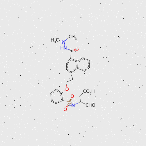 CN(C)NC(=O)c1ccc(CCOc2ccccc2S(=O)(=O)NC(C=O)CC(=O)O)c2ccccc12